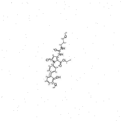 CCOC(=O)c1c(NC(=O)NCCCOC)cc(Cl)n1-c1ccc(-c2cccc(OC)c2O)cc1